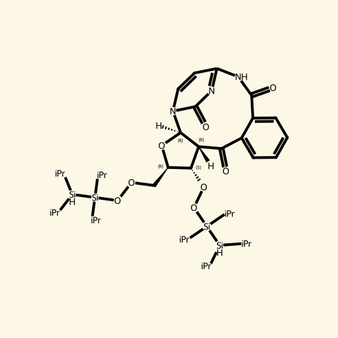 CC(C)[SiH](C(C)C)[Si](OOC[C@H]1O[C@@H]2[C@H](C(=O)c3ccccc3C(=O)Nc3ccn2c(=O)n3)[C@@H]1OO[Si](C(C)C)(C(C)C)[SiH](C(C)C)C(C)C)(C(C)C)C(C)C